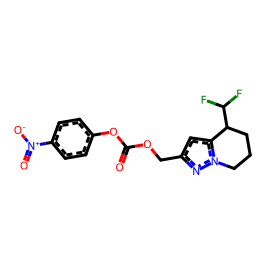 O=C(OCc1cc2n(n1)CCCC2C(F)F)Oc1ccc([N+](=O)[O-])cc1